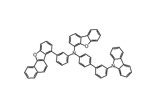 c1cc(-c2cccc3oc4c5ccccc5ccc4c23)cc(N(c2ccc(-c3cccc(-n4c5ccccc5c5ccccc54)c3)cc2)c2cccc3c2oc2ccccc23)c1